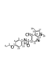 CCOc1ccc(NC(=O)c2cnc3c(c(C)cn3C)c2Cl)cc1